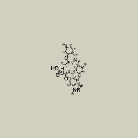 CC[C@@H]1CN(Cc2cc(C(CC(=O)O)c3ccc4c(nnn4C)c3C)ccc2C)Cc2ccc(F)cc2O1.O=CO